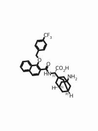 NC12C[C@H]3C[C@@H](C1)CC([C@H](NC(=O)c1ccc4ccccc4c1OCc1ccc(C(F)(F)F)cc1)C(=O)O)(C3)C2